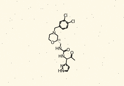 CC(=O)C(NC(=O)NC[C@H]1CN(Cc2ccc(Cl)c(Cl)c2)CCO1)c1cc[nH]n1